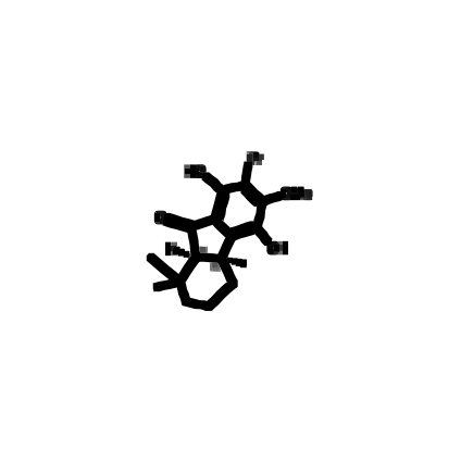 COc1c(O)c2c(c(O)c1C(C)C)C(=O)[C@@H]1C(C)(C)CCC[C@]21C